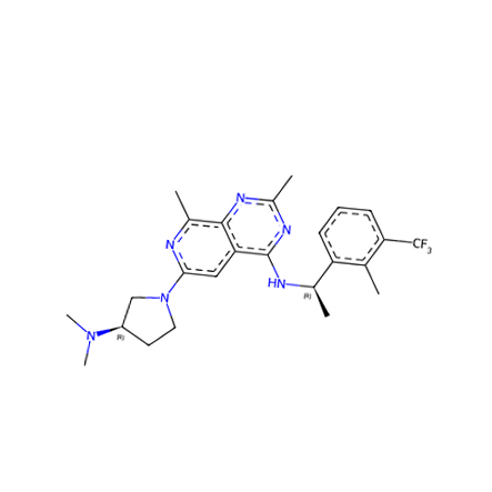 Cc1nc(N[C@H](C)c2cccc(C(F)(F)F)c2C)c2cc(N3CC[C@@H](N(C)C)C3)nc(C)c2n1